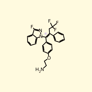 NCCOc1ccc(/C(=C(/CC(F)(F)F)c2ccccc2)n2nc(F)c3ccccc32)cc1